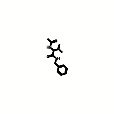 CC(=O)NC(C(=O)NCc1ccccc1)N(C)C